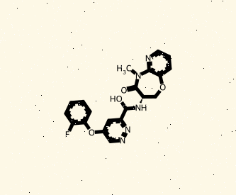 CN1C(=O)[C@@H](NC(O)c2cc(Oc3ccccc3F)cnn2)COc2cccnc21